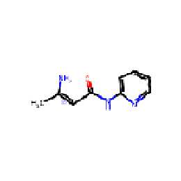 C/C(N)=C/C(=O)Nc1ccccn1